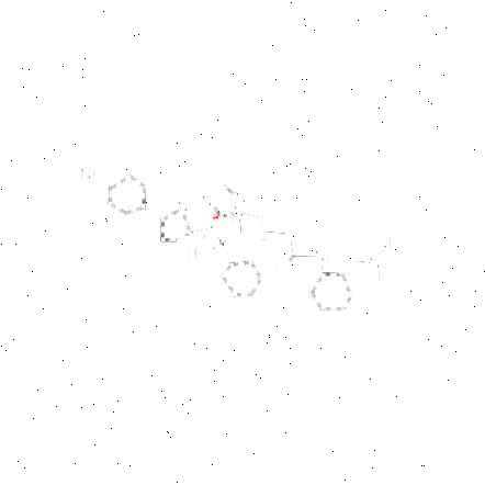 CC(C)NCc1ccccc1NC(=O)OCC[N+]1(C[C@](O)(c2cc(F)ccc2F)[C@@H](C)c2nc(-c3ccc(C#N)cc3)cs2)C=NC=N1